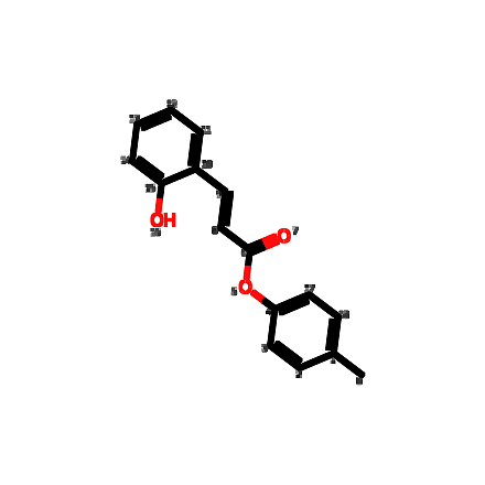 Cc1ccc(OC(=O)C=Cc2ccccc2O)cc1